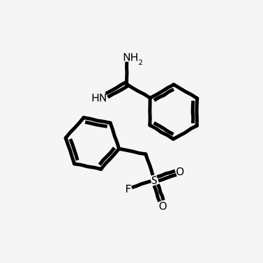 N=C(N)c1ccccc1.O=S(=O)(F)Cc1ccccc1